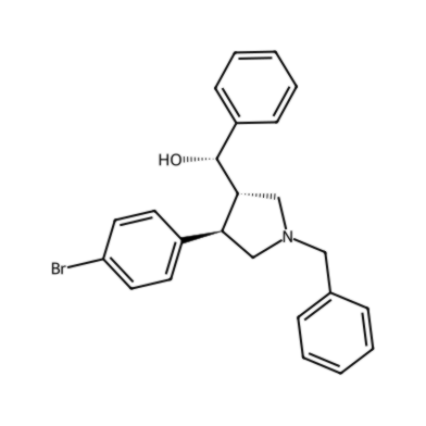 O[C@H](c1ccccc1)[C@@H]1CN(Cc2ccccc2)C[C@H]1c1ccc(Br)cc1